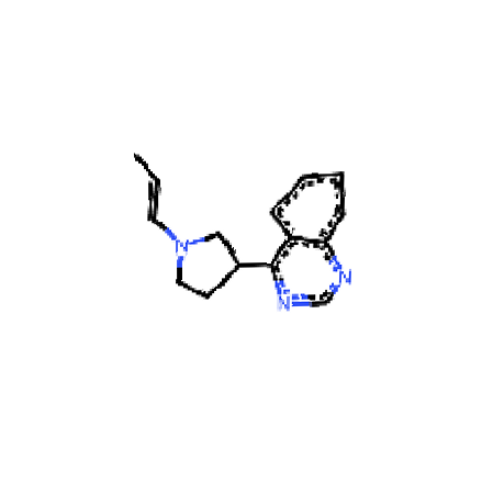 CC=CN1CCC(c2ncnc3ccccc23)C1